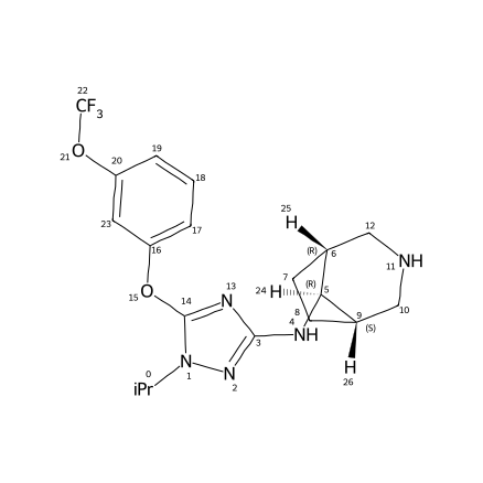 CC(C)n1nc(N[C@H]2[C@@H]3CC[C@H]2CNC3)nc1Oc1cccc(OC(F)(F)F)c1